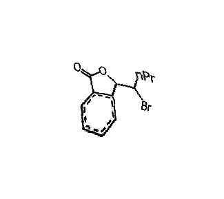 CCCC(Br)C1OC(=O)c2ccccc21